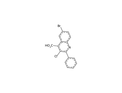 O=C(O)c1c(Cl)c(-c2ccccc2)nc2ccc(Br)cc12